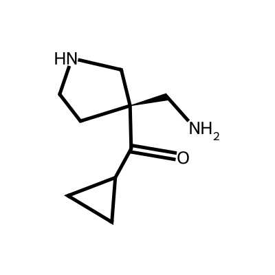 NC[C@@]1(C(=O)C2CC2)CCNC1